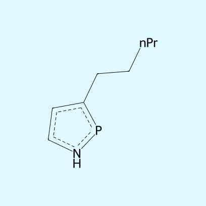 CCCCCc1cc[nH]p1